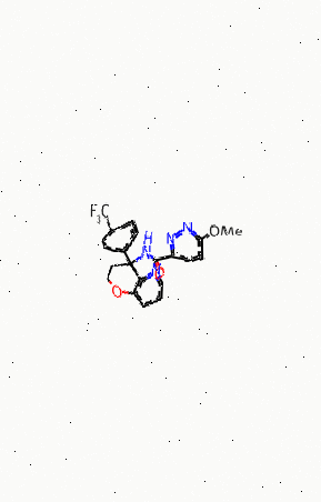 COc1ccc(C(=O)NC2(c3ccc(C(F)(F)F)cc3)CCOc3cccnc32)nn1